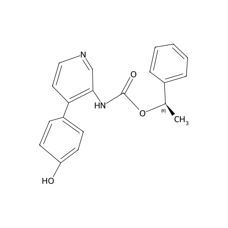 C[C@@H](OC(=O)Nc1cnccc1-c1ccc(O)cc1)c1ccccc1